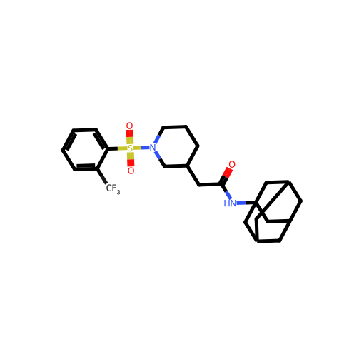 O=C(CC1CCCN(S(=O)(=O)c2ccccc2C(F)(F)F)C1)NC12CC3CC(CC(C3)C1)C2